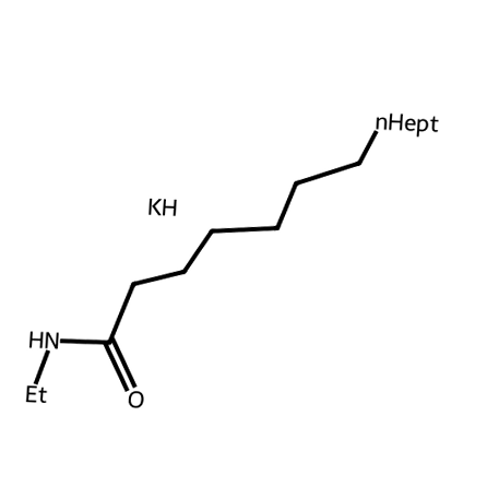 CCCCCCCCCCCCCC(=O)NCC.[KH]